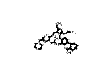 CCOc1nc(CC)c(CNC(=O)[C@H](CC(C)C)SC(=O)CN2CCOCC2)n1Cc1ccc(-c2ccccc2C(=O)O)cc1F